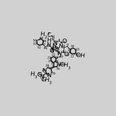 C=CCN1CC(=O)N2[C@@H](Cc3ccc(O)cc3)C(=O)N(Cc3cccc4c(-c5cnc(N(C)C)nc5)cn(C)c34)C[C@@H]2N1C(=O)NCc1ccccc1